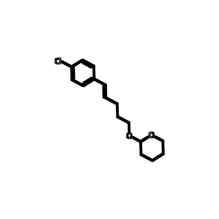 Clc1ccc(C=CCCCOC2CCCCO2)cc1